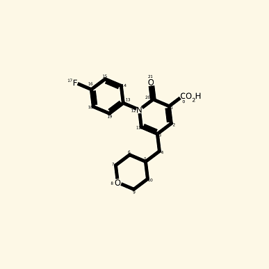 O=C(O)c1cc(CC2CCOCC2)cn(-c2ccc(F)cc2)c1=O